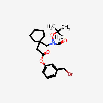 CC(C)(C)ON(C=O)CC1(CC(=O)Oc2cccc(CBr)c2)CCCCC1